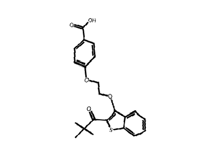 CC(C)(C)C(=O)c1sc2ccccc2c1OCCOc1ccc(C(=O)O)cc1